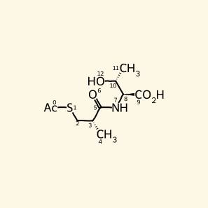 CC(=O)SC[C@@H](C)C(=O)N[C@H](C(=O)O)[C@@H](C)O